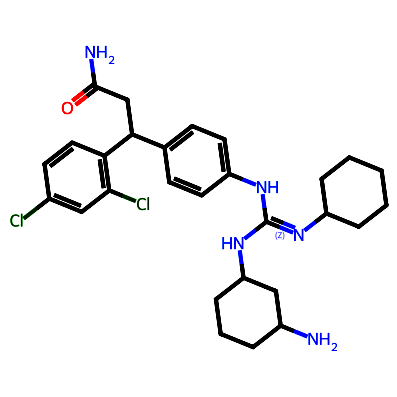 NC(=O)CC(c1ccc(N/C(=N\C2CCCCC2)NC2CCCC(N)C2)cc1)c1ccc(Cl)cc1Cl